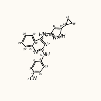 N#Cc1ccc(Nc2nc(Nc3cc(C4CC4)[nH]n3)c3ccccc3n2)cc1